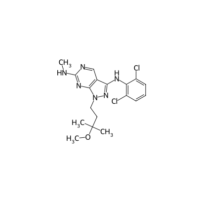 CNc1ncc2c(Nc3c(Cl)cccc3Cl)nn(CCC(C)(C)OC)c2n1